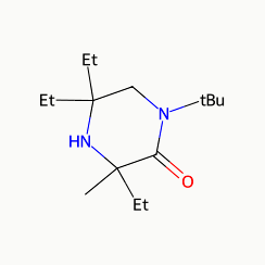 CCC1(CC)CN(C(C)(C)C)C(=O)C(C)(CC)N1